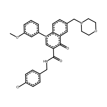 COc1cccc(-n2cc(C(=O)NCc3ccc(Cl)cc3)c(=O)c3cc(CN4CCOCC4)ccc32)c1